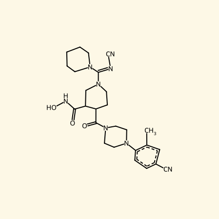 Cc1cc(C#N)ccc1N1CCN(C(=O)C2CCN(C(=NC#N)N3CCCCC3)CC2C(=O)NO)CC1